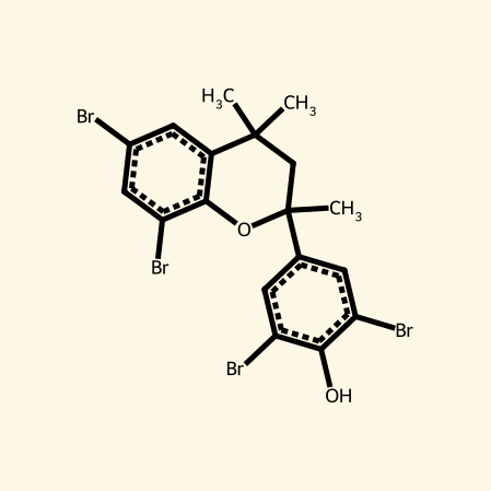 CC1(C)CC(C)(c2cc(Br)c(O)c(Br)c2)Oc2c(Br)cc(Br)cc21